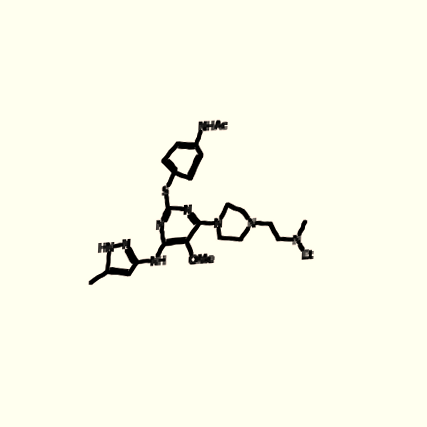 CCN(C)CCN1CCN(c2nc(Sc3ccc(NC(C)=O)cc3)nc(Nc3cc(C)[nH]n3)c2OC)CC1